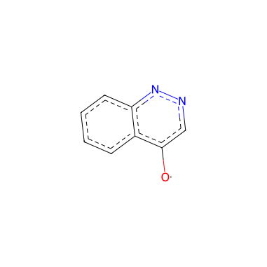 [O]c1cnnc2ccccc12